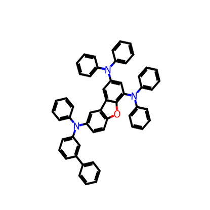 c1ccc(-c2cccc(N(c3ccccc3)c3ccc4oc5c(N(c6ccccc6)c6ccccc6)cc(N(c6ccccc6)c6ccccc6)cc5c4c3)c2)cc1